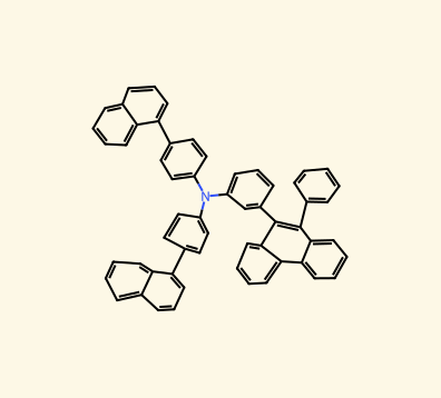 c1ccc(-c2c(-c3cccc(N(c4ccc(-c5cccc6ccccc56)cc4)c4ccc(-c5cccc6ccccc56)cc4)c3)c3ccccc3c3ccccc23)cc1